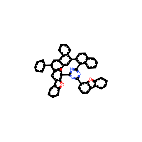 c1ccc(-c2ccc3cc(-c4ccc5ccccc5c4-c4nc(-c5cccc6c5oc5ccccc56)nc(-c5cccc6c5oc5ccccc56)n4)c4ccccc4c3c2)cc1